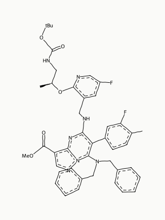 COC(=O)c1cnn2c(N(Cc3ccccc3)Cc3ccccc3)c(-c3ccc(C)c(F)c3)c(NCc3cc(F)cnc3O[C@@H](C)CNC(=O)OC(C)(C)C)nc12